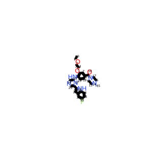 CCOCCOc1cc(C(=O)N2CCN(C)CC2)ccc1Nc1cncc(-c2cc3cc(F)ccc3[nH]2)n1